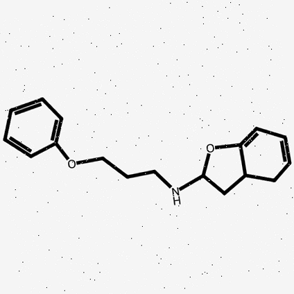 C1=CCC2CC(NCCCOc3ccccc3)OC2=C1